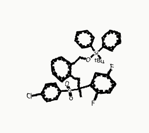 CC(C)(C)[Si](OCc1ccccc1CC(C)(c1cc(F)ccc1F)S(=O)(=O)c1ccc(Cl)cc1)(c1ccccc1)c1ccccc1